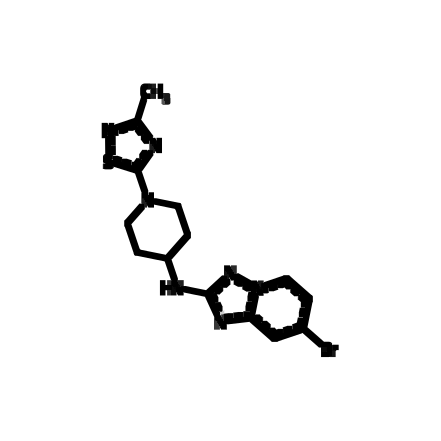 Cc1nsc(N2CCC(Nc3nc4cc(Br)ccn4n3)CC2)n1